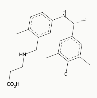 Cc1ccc(N[C@H](C)c2cc(C)c(Cl)c(C)c2)cc1CNCCC(=O)O